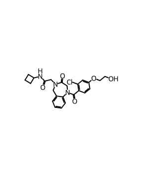 O=C(CN1Cc2ccccc2N(C(=O)c2ccc(OCCO)cc2Cl)CC1=O)NC1CCC1